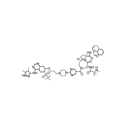 CN[C@@H](C)C(=O)N[C@H]1CN(C(=O)c2cnc(N3CCN(CCCOc4cc5ncnc(Nc6n[nH]c(C)c6C)c5cc4S(=O)(=O)C(C)(C)C)CC3)nc2)CC[C@H]2CC[C@@H](C(=O)N[C@]3(C=O)C=CCc4ccccc43)N2C1=O